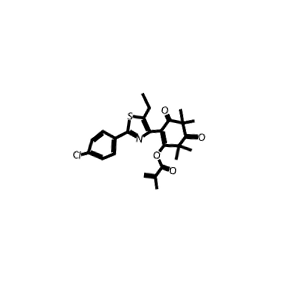 C=C(C)C(=O)OC1=C(c2nc(-c3ccc(Cl)cc3)sc2CC)C(=O)C(C)(C)C(=O)C1(C)C